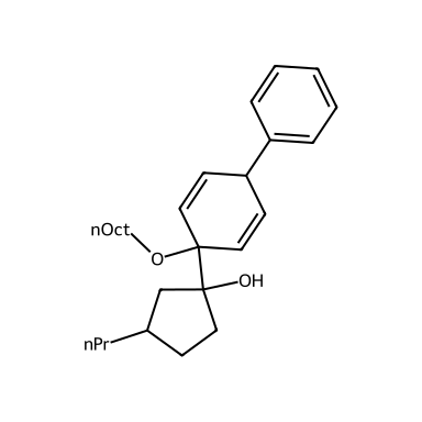 CCCCCCCCOC1(C2(O)CCC(CCC)C2)C=CC(c2ccccc2)C=C1